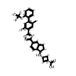 Cc1cc(-c2nc(-c3ccc4c(c3)CCC4N[C@H]3C[C@H](C(=O)O)C3)no2)c(F)cc1-c1ccccc1OC(F)(F)F